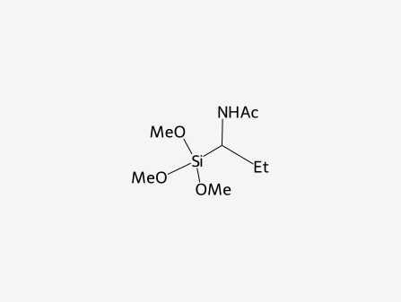 CCC(NC(C)=O)[Si](OC)(OC)OC